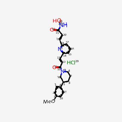 COc1ccc(C2CCCN(C(=O)/C=C/c3cccc(/C=C/C(=O)NO)n3)C2)cc1.Cl